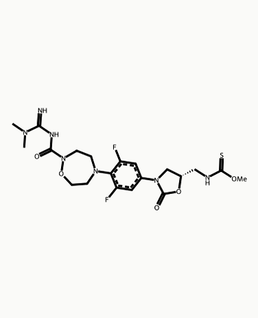 COC(=S)NC[C@H]1CN(c2cc(F)c(N3CCON(C(=O)NC(=N)N(C)C)CC3)c(F)c2)C(=O)O1